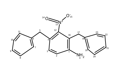 Nc1ccc(Cc2ccccc2)c([N+](=O)[O-])c1Cc1ccccc1